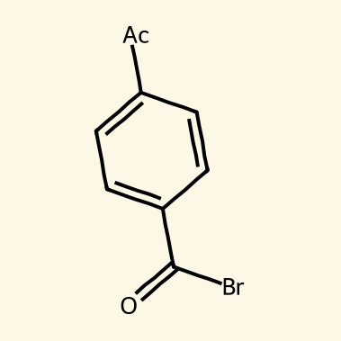 CC(=O)c1ccc(C(=O)Br)cc1